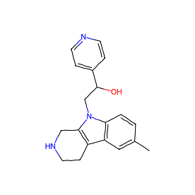 Cc1ccc2c(c1)c1c(n2CC(O)c2ccncc2)CNCC1